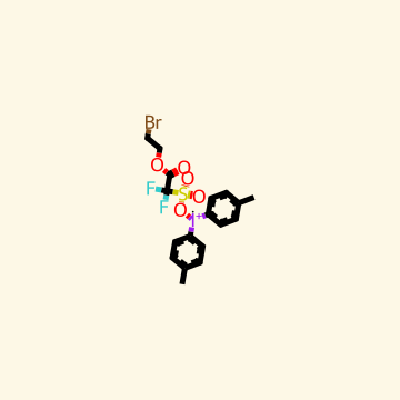 Cc1ccc([I+](OS(=O)(=O)C(F)(F)C(=O)OCCBr)c2ccc(C)cc2)cc1